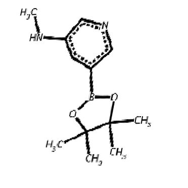 CNc1cncc(B2OC(C)(C)C(C)(C)O2)c1